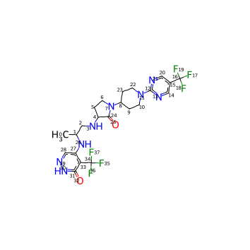 CC(CNC1CCN(C2CCN(c3ncc(C(F)(F)F)cn3)CC2)C1=O)Nc1cn[nH]c(=O)c1C(F)(F)F